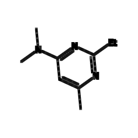 CCc1nc(C)cc(N(C)C)n1